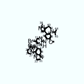 COc1cc2c(cc1Nc1ncc(Br)c(Nc3ccc4nccnc4c3N3CCCS3(=O)=O)n1)-c1cnn(C)c1CCN2C(C)C